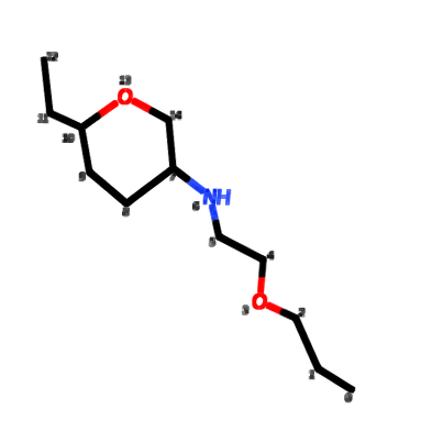 CCCOCCNC1CCC(CC)OC1